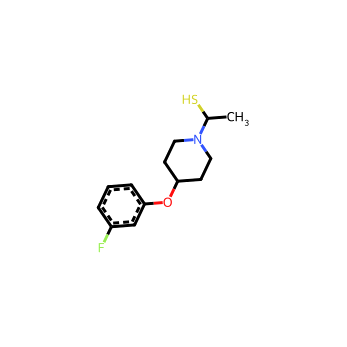 CC(S)N1CCC(Oc2cccc(F)c2)CC1